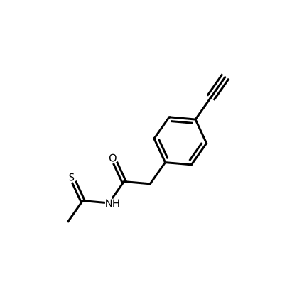 C#Cc1ccc(CC(=O)NC(C)=S)cc1